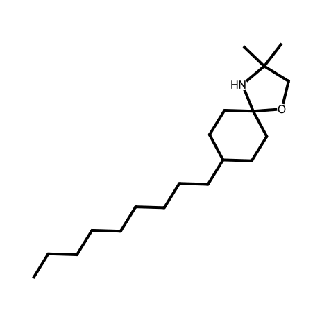 CCCCCCCCCC1CCC2(CC1)NC(C)(C)CO2